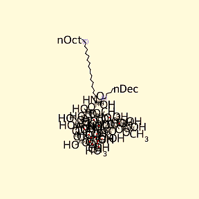 CCCCCCCC/C=C\CCCCCCCCCCCCCCCC(=O)N[C@@H](CO[C@@H]1OC(CO)[C@@H](O[C@@H]2OC(CO)[C@H](O)[C@H](O[C@@H]3OC(CO)[C@@H](O[C@@H]4OC(CO)[C@H](O)[C@H](O[C@@H]5OC(CO)[C@@H](O[C@@H]6OC(CO)[C@H](O)[C@H](O)C6O[C@H]6OC(C)[C@@H](O)C(O)[C@@H]6O)[C@H](O[C@H]6OC(C)[C@@H](O)C(O)[C@@H]6O)C5NC(C)=O)C4O)[C@H](O[C@H]4OC(C)[C@@H](O)C(O)[C@@H]4O)C3NC(C)=O)C2O)[C@H](O)C1O)[C@H](O)/C=C/CCCCCCCCCCCCC